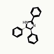 c1ccc(C2=N[C@@H](c3ccccc3)[C@H](c3ccccc3)N2)cc1